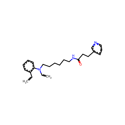 C=Cc1ccccc1N(C=C)CCCCCCNC(=O)CCc1cccnc1